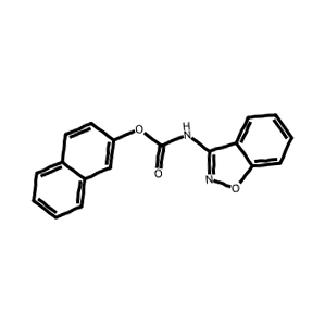 O=C(Nc1noc2ccccc12)Oc1ccc2ccccc2c1